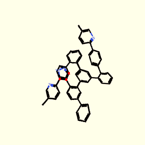 Cc1ccc(-c2ccc(-c3ccccc3-c3cc(-c4ccccc4-c4ccc(-c5ccc(C)cn5)cc4)cc(-c4cc(-c5ccccc5)ccc4-c4cn[nH]c4)c3)cc2)nc1